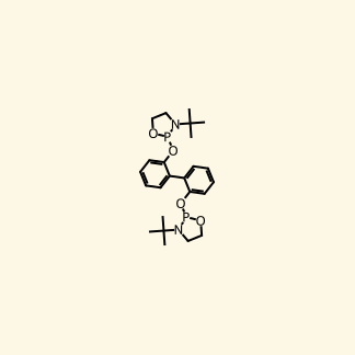 CC(C)(C)N1CCOP1Oc1ccccc1-c1ccccc1OP1OCCN1C(C)(C)C